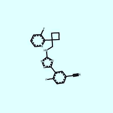 N#Cc1ccc(F)c(-c2nnc(NCC3(c4ncccc4F)CCC3)s2)c1